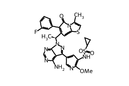 COc1ncc(-c2nn([C@@H](C)c3cc4scc(C)n4c(=O)c3-c3cccc(F)c3)c3ncnc(N)c23)cc1NS(=O)(=O)C1CC1